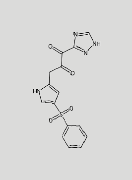 O=C(Cc1cc(S(=O)(=O)c2ccccc2)c[nH]1)C(=O)c1nc[nH]n1